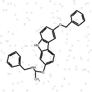 CC(NCc1ccccc1)Oc1ccc2c(c1)[nH]c1ccc(OCc3ccccc3)cc12